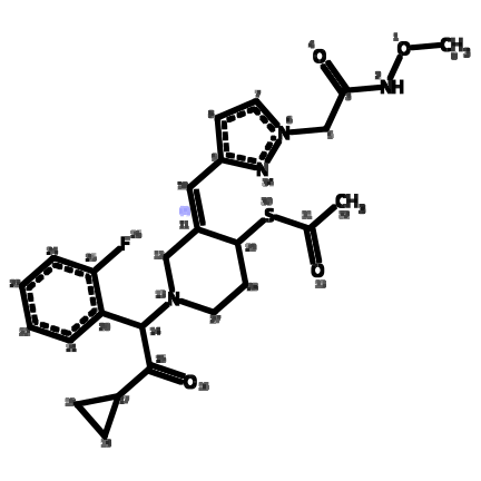 CONC(=O)Cn1ccc(/C=C2/CN(C(C(=O)C3CC3)c3ccccc3F)CCC2SC(C)=O)n1